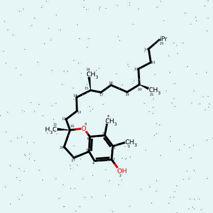 Cc1c(O)cc2c(c1C)O[C@@](C)(CCC[C@@H](C)CCC[C@H](C)CCCC(C)C)CC2